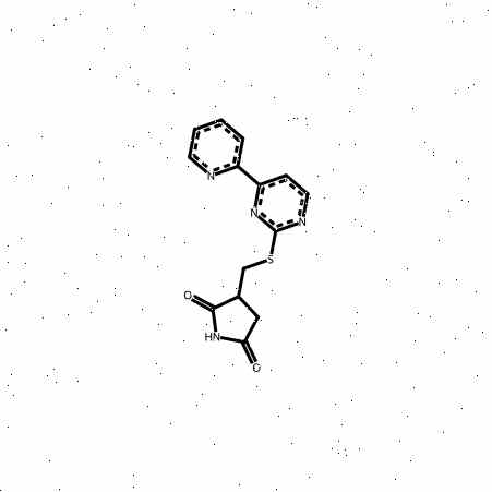 O=C1CC(CSc2nccc(-c3ccccn3)n2)C(=O)N1